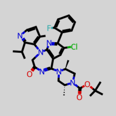 Cc1ccnc(C(C)C)c1N1CC(=O)N=C(N2C[C@@H](C)N(C(=O)OC(C)(C)C)C[C@@H]2C)c2cc(Cl)c(-c3ccccc3F)nc21